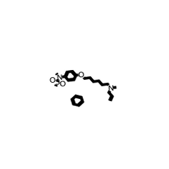 C=CCN(C)CCCCCCOc1ccc(N(C)S(C)(=O)=O)cc1.c1ccccc1